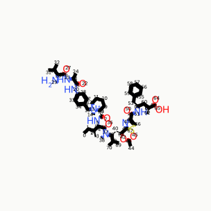 CC[C@H](C)[C@H](NC(=O)[C@H]1CCCC[N+]1(C)Cc1ccc(NC(=O)C(C)NC(=O)C(N)C(C)C)cc1)C(=O)N(C)[C@H](C[C@@H](OC(C)=O)c1nc(C(=O)N[C@@H](Cc2ccccc2)C[C@H](C)C(=O)O)cs1)C(C)C